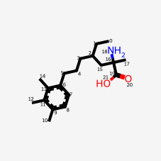 CCC(CCCc1ccc(C)c(C)c1C)CC(C)(N)C(=O)O